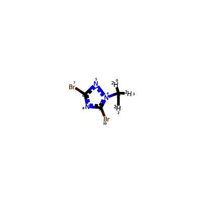 [2H]C([2H])([2H])n1nc(Br)nc1Br